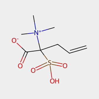 C=CCC(C(=O)[O-])([N+](C)(C)C)S(=O)(=O)O